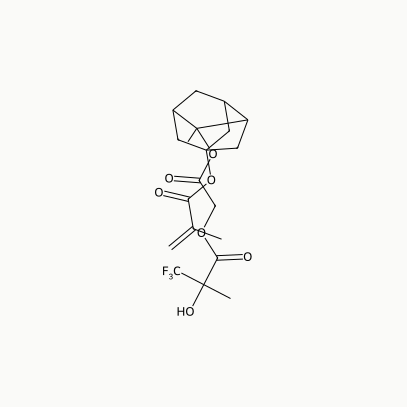 C=C(C)C(=O)OC12CC3CC(C1)C(C)(OC(=O)COC(=O)C(C)(O)C(F)(F)F)C3C2